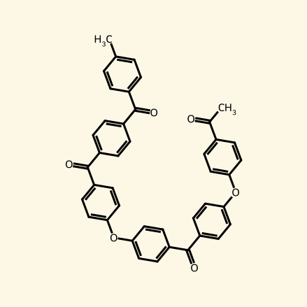 CC(=O)c1ccc(Oc2ccc(C(=O)c3ccc(Oc4ccc(C(=O)c5ccc(C(=O)c6ccc(C)cc6)cc5)cc4)cc3)cc2)cc1